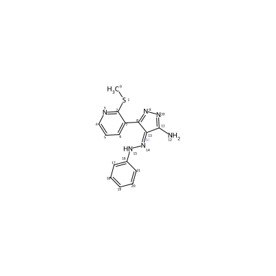 CSc1ncccc1C1=NN=C(N)/C1=N/Nc1ccccc1